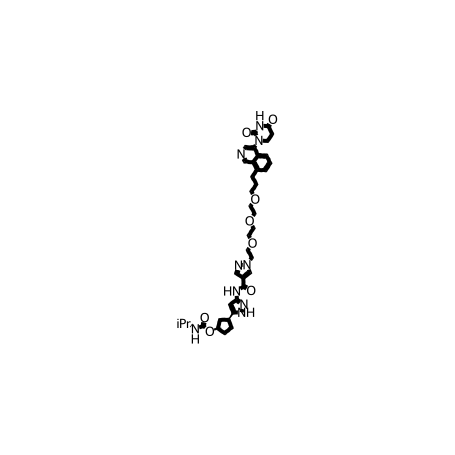 CC(C)NC(=O)O[C@@H]1CC[C@H](c2cc(NC(=O)c3cnn(CCOCCOCCOCCCc4cccc5c(N6CCC(=O)NC6=O)cncc45)c3)n[nH]2)C1